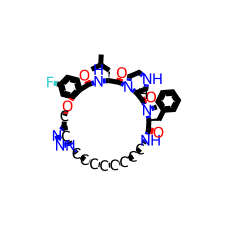 CC(C)C[C@H]1NC(=O)c2ccc(F)cc2OCc2cn(nn2)CCCCCCCCNC(=O)[C@H](Cc2ccccc2)N(C)C(=O)[C@H]2CNCCN2C1=O